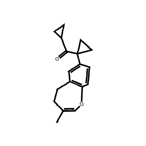 CC1=COc2ccc(C3(C(=O)C4CC4)CC3)cc2CC1